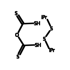 CC(C)SSC(C)C.S=C(S)OC(=S)S